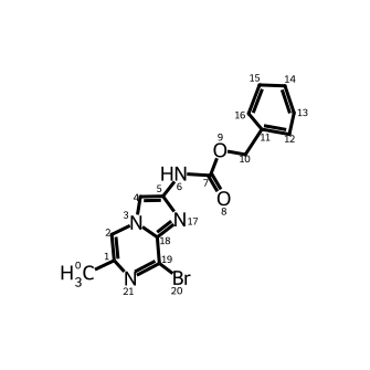 Cc1cn2cc(NC(=O)OCc3ccccc3)nc2c(Br)n1